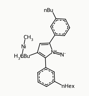 CCCCCCc1cccc(C2=C(CCCC)C=C(c3cccc(CCCC)c3)[N+]2=[N-])c1.[CH3][Ni][CH3]